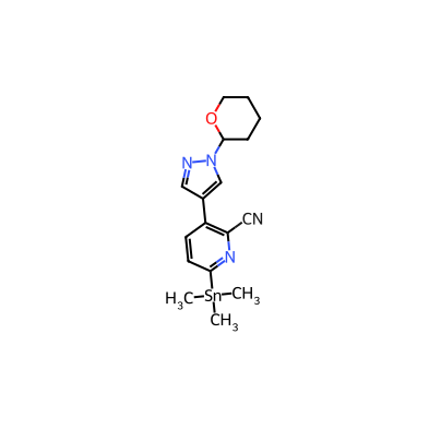 [CH3][Sn]([CH3])([CH3])[c]1ccc(-c2cnn(C3CCCCO3)c2)c(C#N)n1